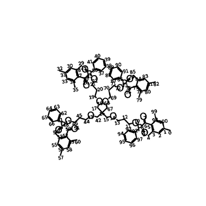 Cc1cc(C)c(C(=O)P(=O)(OCCCOCC(COCCCOP(=O)(C(=O)c2c(C)cc(C)cc2C)c2ccccc2)(COCCCOP(=O)(C(=O)c2c(C)cc(C)cc2C)c2ccccc2)COCCCOP(=O)(C(=O)c2c(C)cc(C)cc2C)c2ccccc2)c2ccccc2)c(C)c1